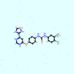 O=C(Nc1ccc(Oc2cc(-c3ncon3)ncn2)cc1)Nc1ccc(Cl)c(C(F)(F)F)c1